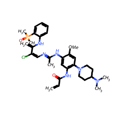 C=CC(=O)Nc1cc(N/C(C)=N/C=C(/Cl)C(=C)Nc2ccccc2P(C)(C)=O)c(OC)cc1N1CCC(N(C)C)CC1